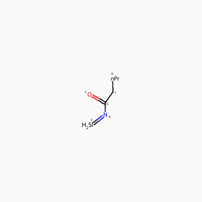 CCCCC(=O)N=[SiH2]